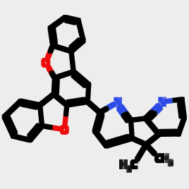 CC1(C)c2cccnc2-c2nc(-c3cc4c5ccccc5oc4c4c3oc3ccccc34)ccc21